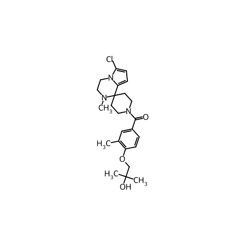 Cc1cc(C(=O)N2CCC3(CC2)c2ccc(Cl)n2CCN3C)ccc1OCC(C)(C)O